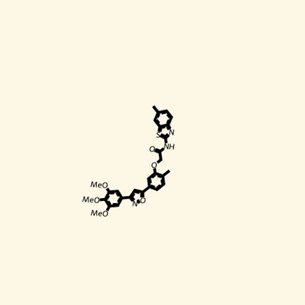 COc1cc(-c2cc(-c3ccc(C)c(OCC(=O)Nc4nc5ccc(C)cc5s4)c3)on2)cc(OC)c1OC